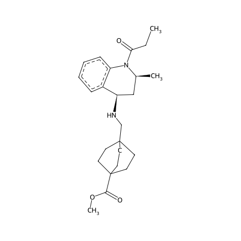 CCC(=O)N1c2ccccc2[C@H](NCC23CCC(C(=O)OC)(CC2)CC3)C[C@@H]1C